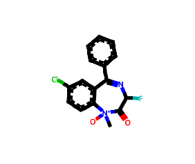 C[N+]1([O-])C(=O)C(F)N=C(c2ccccc2)c2cc(Cl)ccc21